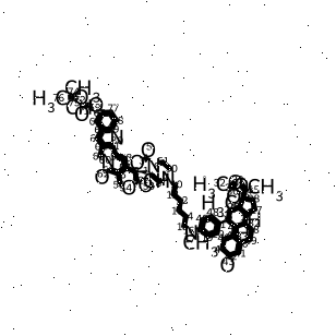 CC[C@@]1(OC(=O)N2CCN(CCCCCCN(C)c3ccc([C@H]4C[C@@]5(C)[C@@H](CC[C@]5(OC(C)=O)C(C)=O)[C@@H]5CCC6=CC(=O)CCC6=C54)cc3)CC2)C(=O)OCc2c1cc1n(c2=O)Cc2cc3cc(OC(=O)OC(C)(C)C)ccc3nc2-1